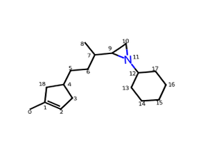 CC1=CCC(CCC(C)C2CN2C2CCCCC2)C1